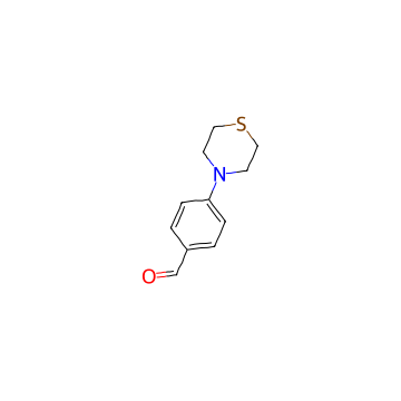 O=Cc1ccc(N2CCSCC2)cc1